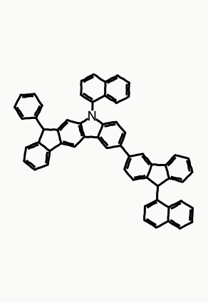 c1ccc(C2c3ccccc3-c3cc4c5cc(-c6ccc7c(c6)-c6ccccc6C7c6cccc7ccccc67)ccc5n(-c5cccc6ccccc56)c4cc32)cc1